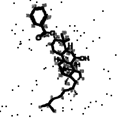 CC(C)CCC[C@@H](C)[C@H]1CC[C@@]2(C#N)[C@@H]3C(O)C[C@H]4C(C)(C)[C@@H](OC(=O)c5ccccc5)CC[C@]4(C)[C@H]3CC[C@]12C